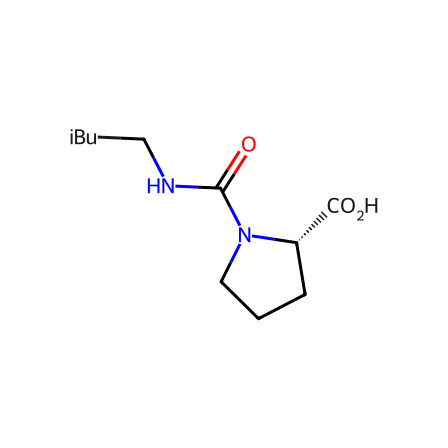 CCC(C)CNC(=O)N1CCC[C@H]1C(=O)O